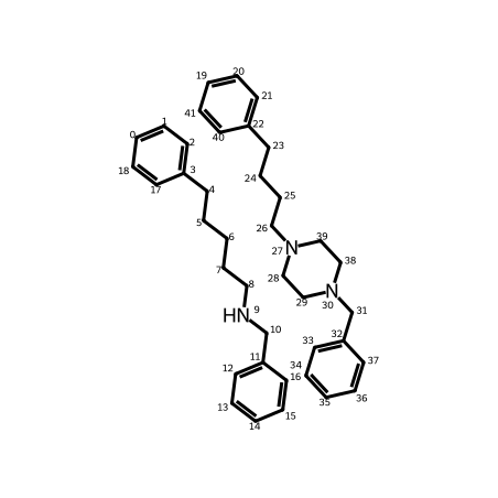 c1ccc(CCCCCNCc2ccccc2)cc1.c1ccc(CCCCN2CCN(Cc3ccccc3)CC2)cc1